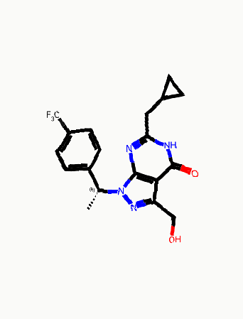 C[C@H](c1ccc(C(F)(F)F)cc1)n1nc(CO)c2c(=O)[nH]c(CC3CC3)nc21